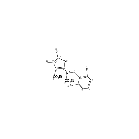 CCOC(=O)c1c(N(Cc2c(F)cccc2F)C(=O)OCC)sc(Br)c1C